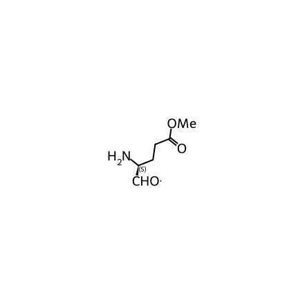 COC(=O)CC[C@H](N)[C]=O